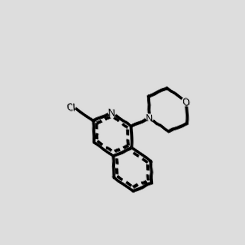 Clc1cc2ccccc2c(N2CCOCC2)n1